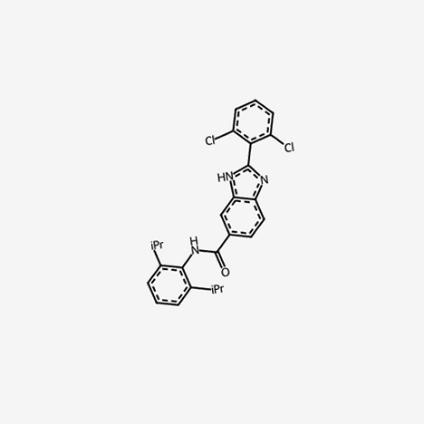 CC(C)c1cccc(C(C)C)c1NC(=O)c1ccc2nc(-c3c(Cl)cccc3Cl)[nH]c2c1